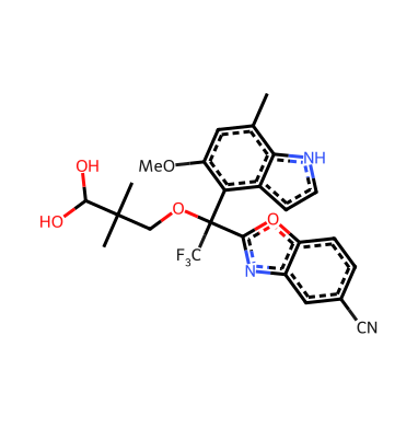 COc1cc(C)c2[nH]ccc2c1C(OCC(C)(C)C(O)O)(c1nc2cc(C#N)ccc2o1)C(F)(F)F